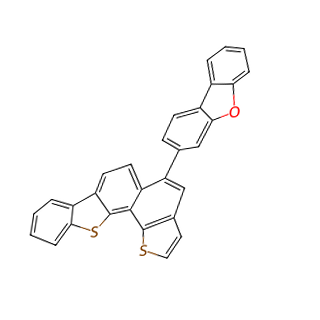 c1ccc2c(c1)oc1cc(-c3cc4ccsc4c4c3ccc3c5ccccc5sc34)ccc12